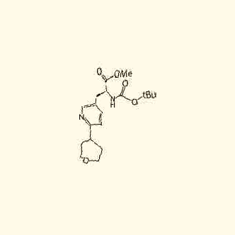 COC(=O)[C@H](Cc1ccc(C2CCOCC2)nc1)NC(=O)OC(C)(C)C